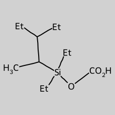 CCC(CC)C(C)[Si](CC)(CC)OC(=O)O